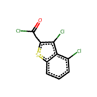 O=C(Cl)c1sc2cccc(Cl)c2c1Cl